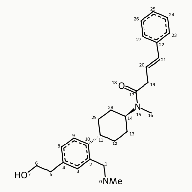 CNCc1cc(CCO)ccc1[C@H]1CC[C@H](N(C)C(=O)CC=Cc2ccccc2)CC1